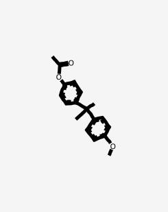 COc1ccc(C(C)(C)c2ccc(OC(C)=O)cc2)cc1